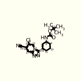 CC(C)(C)OC(=O)N[C@@H]1CCC[C@H](c2nnc3cc(C#N)c(Cl)cn23)C1